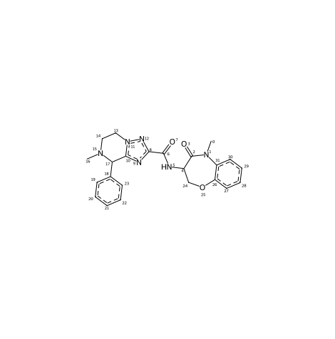 CN1C(=O)C(NC(=O)c2nc3n(n2)CCN(C)C3c2ccccc2)COc2ccccc21